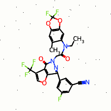 CCN(C(=O)Cn1nc(-c2cc(F)cc(C#N)c2)c2occ(C(F)(F)F)c2c1=O)c1cc2c(cc1C)OC(F)(F)O2